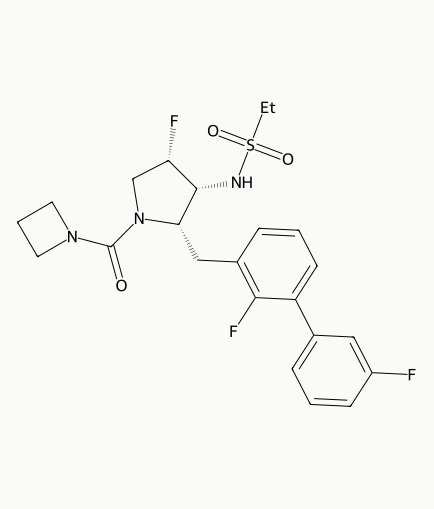 CCS(=O)(=O)N[C@H]1[C@@H](F)CN(C(=O)N2CCC2)[C@H]1Cc1cccc(-c2cccc(F)c2)c1F